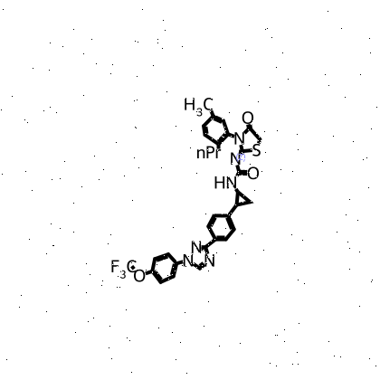 CCCc1ccc(C)cc1N1C(=O)CS/C1=N\C(=O)NC1CC1c1ccc(-c2ncn(-c3ccc(OC(F)(F)F)cc3)n2)cc1